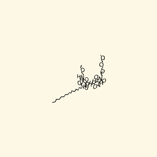 CCCCCCCCCCCCCCCCN1C(=O)[C@@H]2C(NCCOCC)OC(C(C)(C)C(C)(C)C3OC(C)[C@@H]4C(=O)N(CCOCCOCCOC)C(=O)[C@H]34)[C@@H]2C1=O